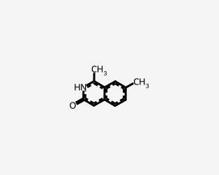 Cc1ccc2cc(=O)[nH]c(C)c2c1